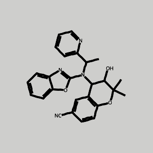 CC(c1ccccn1)N(c1nc2ccccc2o1)C1c2cc(C#N)ccc2OC(C)(C)C1O